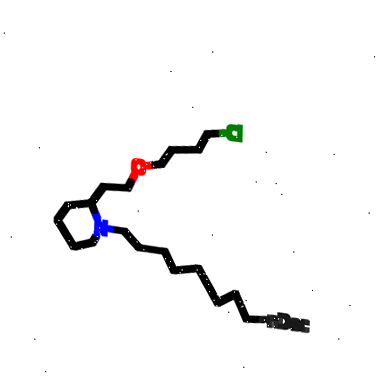 CCCCCCCCCCCCCCCCCCN1CCCCC1CCOCCCCCl